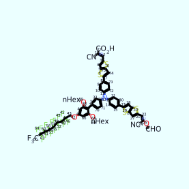 [C-]#[N+]/C(=C\c1cc2sc(-c3ccc(N(c4ccc(-c5cc6sc(/C=C(\C#N)OC=O)cc6s5)cc4)c4ccc(-c5c(OCCCCCC)cc(OCC(F)(F)C(F)(F)C(F)(F)C(F)(F)C(F)(F)C(F)(F)C(F)(F)C(F)(F)F)cc5OCCCCCC)cc4)cc3)cc2s1)C(=O)O